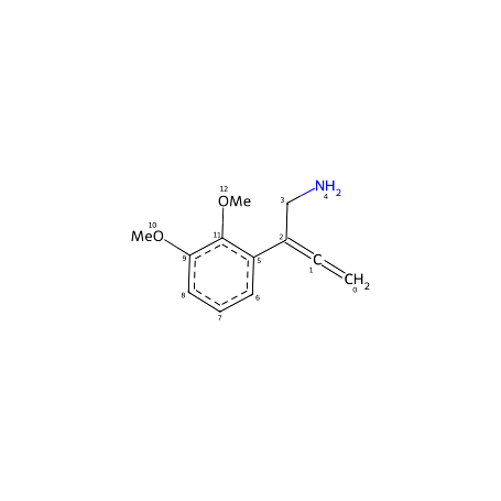 C=C=C(CN)c1cccc(OC)c1OC